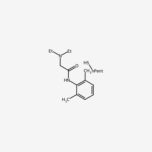 CCCCCS.CCN(CC)CC(=O)Nc1c(C)cccc1C